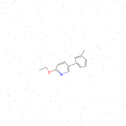 CCOc1ccc(-c2cccc(C)c2)cn1